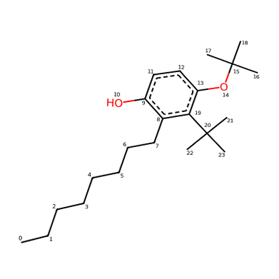 CCCCCCCCc1c(O)ccc(OC(C)(C)C)c1C(C)(C)C